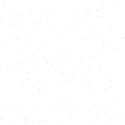 CCOC(=O)C(C)(C)Oc1ccc(OC/C=C/c2nc(-c3ccccc3)oc2C)cc1